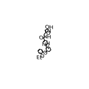 CCOc1ccccc1OC1CCCN(c2ncc(C(=O)NCc3cc(O)no3)cn2)C1